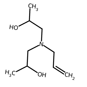 C=CCN(CC(C)O)CC(C)O